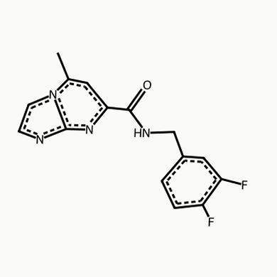 Cc1cc(C(=O)NCc2ccc(F)c(F)c2)nc2nccn12